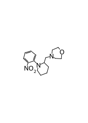 O=[N+]([O-])c1ccccc1N1CCCCC1CN1CCOCC1